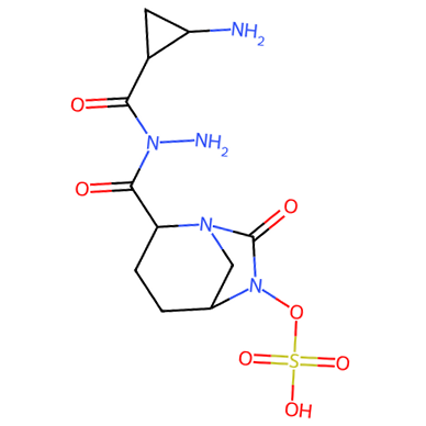 NC1CC1C(=O)N(N)C(=O)C1CCC2CN1C(=O)N2OS(=O)(=O)O